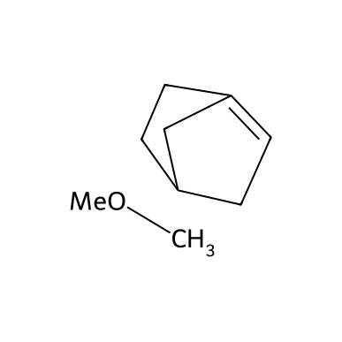 C1=C2CCC(C1)C2.COC